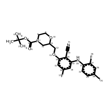 CC(C)(C)OC(=O)N1CCOC(COc2cc(F)cc(Nc3ccc(I)cc3F)c2C#N)C1